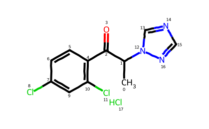 CC(C(=O)c1ccc(Cl)cc1Cl)n1cncn1.Cl